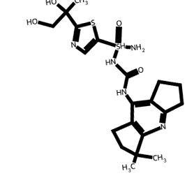 CC1(C)CCc2c1nc1c(c2NC(=O)N[SH](N)(=O)c2cnc(C(C)(O)CO)s2)CCC1